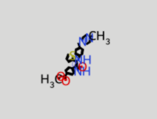 COC(=O)c1ccc2c(c1)NC(=O)/C2=C(\Nc1ccc(CN2CCN(C)CC2)cc1)c1cccs1